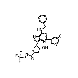 O=C(NCC(F)(F)F)[C@@H]1C[C@@H](O)[C@H](n2cnc3c(NCc4ccccc4)nc(-c4cncc(Cl)c4)nc32)O1